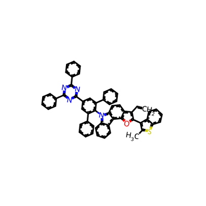 C=Cc1c(-c2c(C)sc3ccccc23)oc2c1ccc1c2c2ccccc2n1-c1c(-c2ccccc2)cc(-c2nc(-c3ccccc3)nc(-c3ccccc3)n2)cc1-c1ccccc1